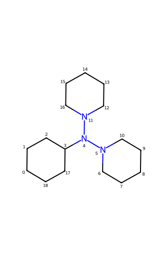 C1CCC(N(N2CCCCC2)N2CCCCC2)CC1